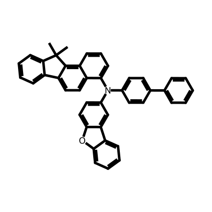 CC1(C)c2ccccc2-c2ccc3c(N(c4ccc(-c5ccccc5)cc4)c4ccc5oc6ccccc6c5c4)cccc3c21